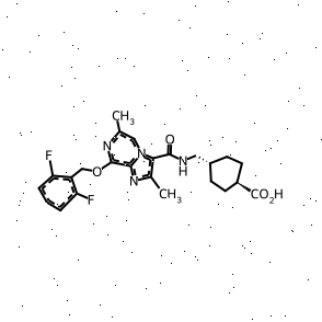 Cc1cn2c(C(=O)NC[C@H]3CC[C@H](C(=O)O)CC3)c(C)nc2c(OCc2c(F)cccc2F)n1